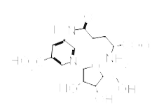 NC(=O)CC[C@H](N)C(=O)[O-].O=C(O)c1ccc[n+]([C@@H]2O[C@H](CO)[C@@H](O)[C@H]2O)c1